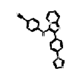 N#Cc1ccc(Nc2c(-c3ccc(-n4ccnc4)cc3)nc3ccccn23)cc1